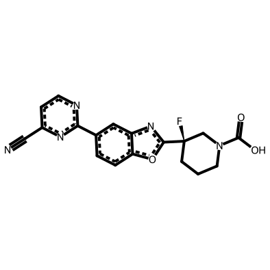 N#Cc1ccnc(-c2ccc3oc([C@@]4(F)CCCN(C(=O)O)C4)nc3c2)n1